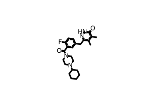 Cc1c(Cc2ccc(F)c(C(=O)N3CCN(C4CCCCC4)CC3)c2)n[nH]c(=O)c1C